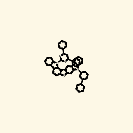 c1ccc(-c2cccc(-n3c4ccccc4c4cc5c(cc43)sc3ccc4c6ccccc6n(-c6nc(-c7ccccc7)cc(-c7ccccc7)n6)c4c35)c2)cc1